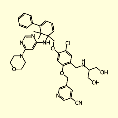 CC1(C)C(c2ccccc2)=CC=CC1(COc1cc(OCc2cncc(C#N)c2)c(CNC(CO)CO)cc1Cl)Nc1cc(N2CCOCC2)ncn1